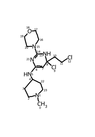 CN1CCC(NC2=CC(Cl)(CCCl)NC(N3CCOCC3)=N2)CC1